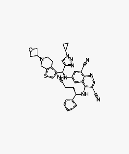 N#CCC[C@@H](Nc1c(C#N)cnc2c(C#N)cc(N[C@H](c3cn(C4CC4)nn3)c3csc4c3CCN(C3COC3)C4)cc12)c1ccccc1